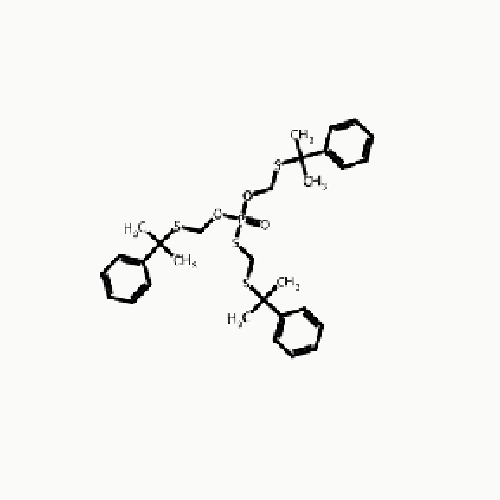 CC(C)(SCOP(=O)(OCSC(C)(C)c1ccccc1)SCSC(C)(C)c1ccccc1)c1ccccc1